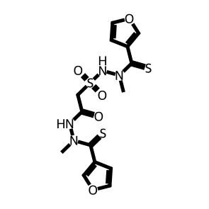 CN(NC(=O)CS(=O)(=O)NN(C)C(=S)c1ccoc1)C(=S)c1ccoc1